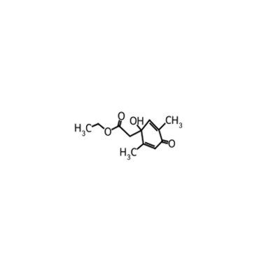 CCOC(=O)CC1(O)C=C(C)C(=O)C=C1C